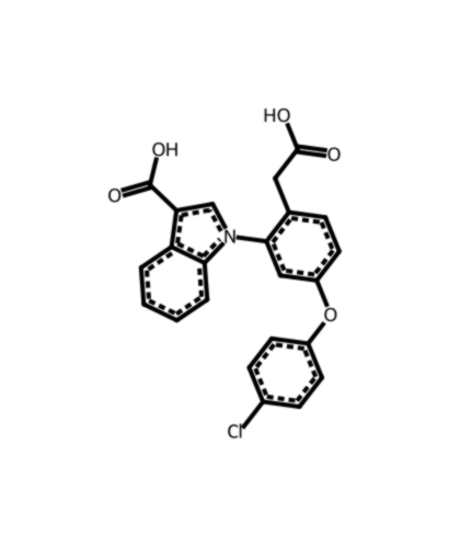 O=C(O)Cc1ccc(Oc2ccc(Cl)cc2)cc1-n1cc(C(=O)O)c2ccccc21